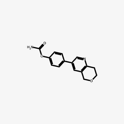 NC(=O)Oc1ccc(-c2cnc3c(c2)COCC3)cc1